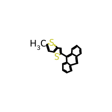 Cc1cc2sc(-c3c4ccccc4cc4ccccc34)cc2s1